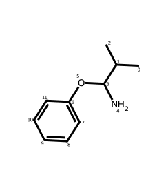 C[C](C)C(N)Oc1ccccc1